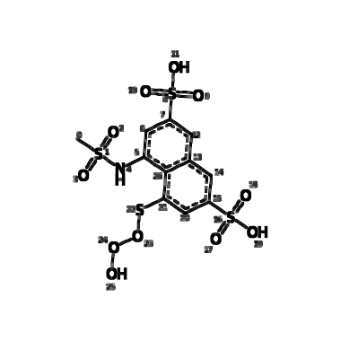 CS(=O)(=O)Nc1cc(S(=O)(=O)O)cc2cc(S(=O)(=O)O)cc(SOOO)c12